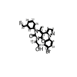 Cc1c(-c2ccnn2-c2ccc(Br)cc2)c(=O)n([C@@H](C)CO)c(=O)n1-c1cccc(CF)c1